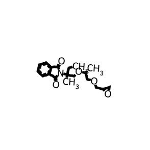 CCC(C)(COC(C)COCC1CO1)N1C(=O)c2ccccc2C1=O